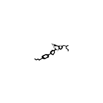 CCCCc1ccc(-c2ccc(C(=O)Oc3ccc(CC(C)CCC)cc3C#N)cc2)cc1